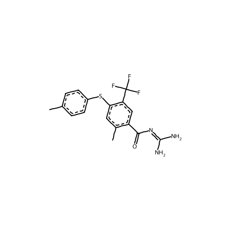 Cc1ccc(Sc2cc(C)c(C(=O)N=C(N)N)cc2C(F)(F)F)cc1